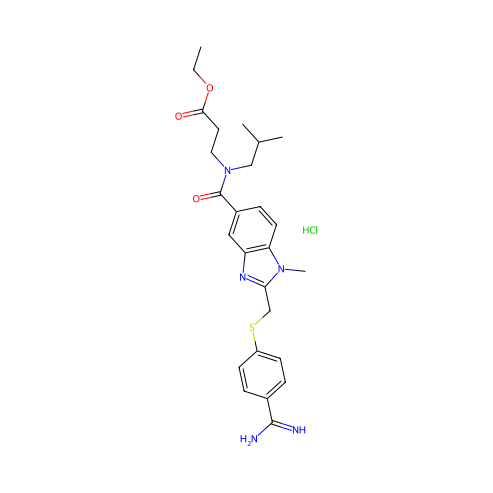 CCOC(=O)CCN(CC(C)C)C(=O)c1ccc2c(c1)nc(CSc1ccc(C(=N)N)cc1)n2C.Cl